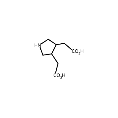 O=C(O)CC1CNCC1CC(=O)O